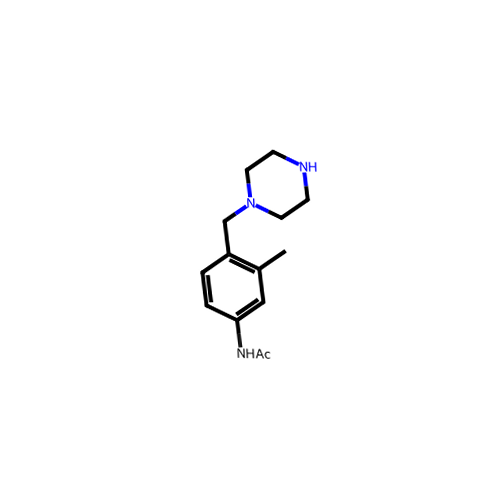 CC(=O)Nc1ccc(CN2CCNCC2)c(C)c1